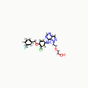 OCCOCCn1ncc2ncnc(Nc3ccc(OCc4cccc(F)c4)c(Cl)c3)c21